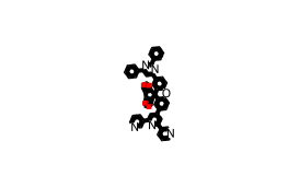 c1ccc(-c2cc(-c3ccc4c(c3)C3(c5cc(-c6cc(-c7cccnc7)nc(-c7cccnc7)c6)ccc5O4)c4ccccc4-c4ccccc43)nc(-c3ccccc3)n2)cc1